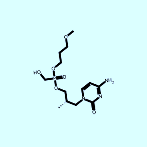 COCCCOP(=O)(CO)OC[C@@H](C)Cn1ccc(N)nc1=O